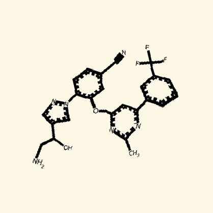 Cc1nc(Oc2cc(C#N)ccc2-n2cc(C(O)CN)cn2)cc(-c2cccc(C(F)(F)F)c2)n1